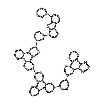 c1ccc(-c2cccc3c2sc2c(-c4cccc(-c5cc6c7ccccc7c7ccc(-c8ccc9c%10cc(-c%11cccc(-c%12ccc%13c%14ccccc%14c%14nccnc%14c%13c%12)c%11)ccc%10c%10ccccc%10c9c8)cc7c6cn5)c4)cccc23)cc1